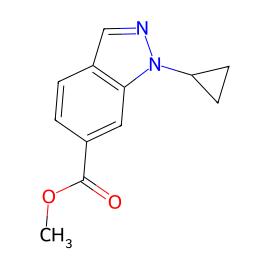 COC(=O)c1ccc2cnn(C3CC3)c2c1